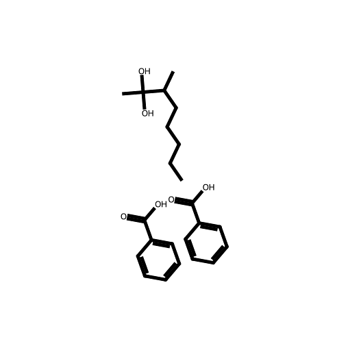 CCCCCC(C)C(C)(O)O.O=C(O)c1ccccc1.O=C(O)c1ccccc1